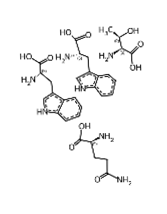 C[C@@H](O)[C@H](N)C(=O)O.NC(=O)CC[C@H](N)C(=O)O.N[C@@H](Cc1c[nH]c2ccccc12)C(=O)O.N[C@@H](Cc1c[nH]c2ccccc12)C(=O)O